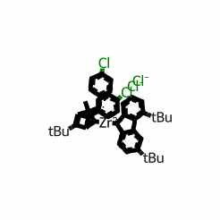 CC(C)(C)C1=C2C(c3ccc(Cl)cc3)C1=[C]([Zr+2][CH]1c3ccc(C(C)(C)C)cc3-c3c1cccc3C(C)(C)C)C2(C)[CH]c1ccc(Cl)cc1.[Cl-].[Cl-]